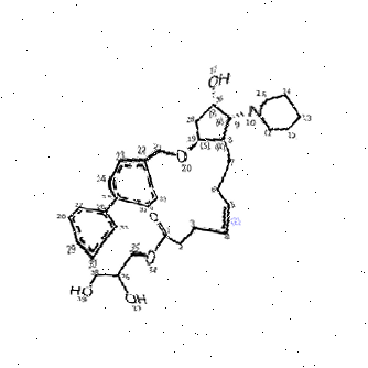 O=C(CC/C=C\CC[C@@H]1[C@@H](N2CCCCC2)[C@@H](O)C[C@@H]1OCc1ccc(-c2ccccc2)cc1)OCC(O)CO